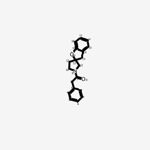 O=C(Cc1ccccc1)N1CCC2(Cc3ccccc3O2)C1